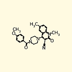 COc1ccc(C(=O)N2CCN(c3c(C#N)c(=O)n(C)c4ccc(C)cc34)CC2)cc1